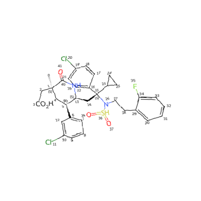 C[C@@]1(CC(=O)O)C[C@H](c2cccc(Cl)c2)[C@H](C[C@@](c2ccc(Cl)cc2)(C2CC2)N(CCc2ccccc2F)[SH](=O)=O)NC1=O